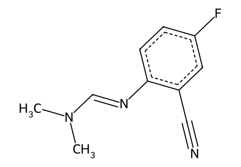 CN(C)/C=N/c1ccc(F)cc1C#N